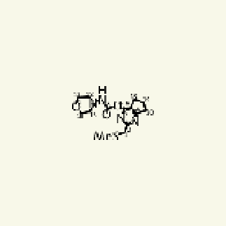 CSCc1nc2c(c(OC(=O)NN3CCOCC3)n1)CCC2